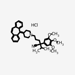 COc1cc(C(C#N)(CCCN2CCC(=C3c4ccccc4C=Cc4ccccc43)CC2)C(C)C)cc(OC)c1OC.Cl